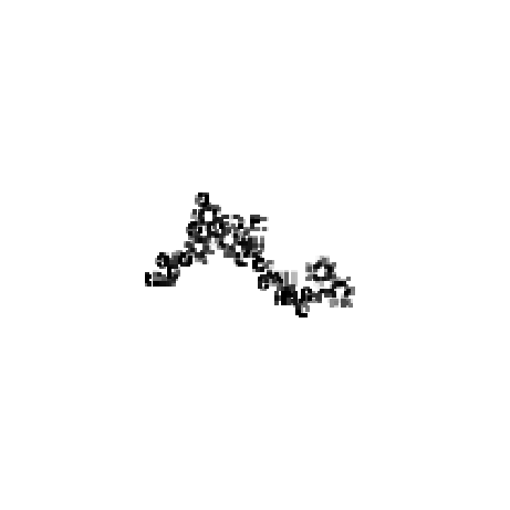 CCOC(=O)c1cc(NC(=O)COCC(=O)NCCNC(=O)OCC2c3ccccc3-c3ccccc32)ccc1-c1c2ccc(=O)cc-2oc2cc(OCC(=O)OC(C)(C)C)ccc12